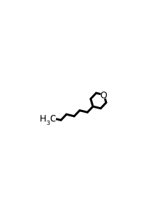 CCCCCCC1CCOCC1